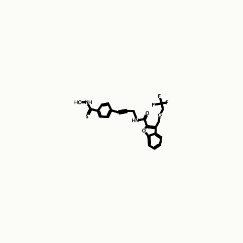 O=C(NCC#Cc1ccc(C(=S)NO)cc1)c1oc2ccccc2c1COCC(F)(F)F